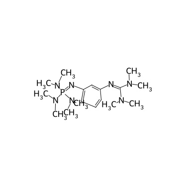 CN(C)C(=Nc1cccc(N=P(N(C)C)(N(C)C)N(C)C)c1)N(C)C